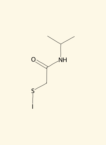 CC(C)NC(=O)CSI